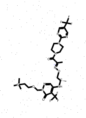 C/C(=N\OC[C@H](C)Nc1cnn(COCC[Si](C)(C)C)c(=O)c1C(F)(F)F)C(=O)N1CCN(c2ncc(C(F)(F)F)cn2)CC1